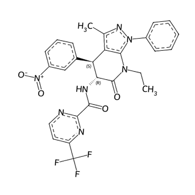 CCN1C(=O)[C@H](NC(=O)c2nccc(C(F)(F)F)n2)[C@@H](c2cccc([N+](=O)[O-])c2)c2c(C)nn(-c3ccccc3)c21